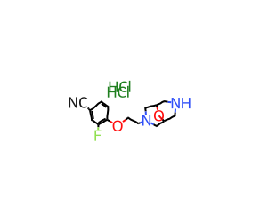 Cl.Cl.N#Cc1ccc(OCCN2CC3CNCC(C2)O3)c(F)c1